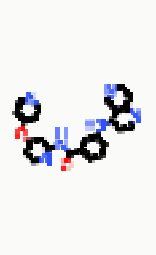 O=C(Nc1cc(Oc2ccncc2)ccn1)c1cccc(Nc2ccnc3ccncc23)c1